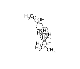 C=C(C)[C@H]1CC[C@H]2[C@@H]3CC=C4C[C@@](O)(COC)CC[C@@H]4[C@H]3CC[C@]12C